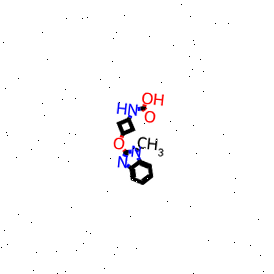 Cn1c(OC2CC(NC(=O)O)C2)nc2ccccc21